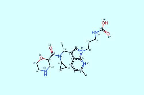 Cc1ccc2c([C@@H](C)N(C(=O)[C@H]3CNCCO3)C3CC3)cn(CCCNC(=O)O)c2n1